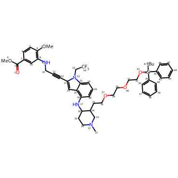 COC(=O)c1ccc(OC)c(NCC#Cc2cc3c(NC4CCN(C)CC4CCOCCOCCO[Si](c4ccccc4)(c4ccccc4)C(C)(C)C)cccc3n2CC(F)(F)F)c1